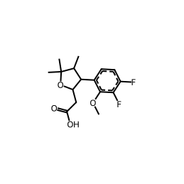 COc1c(C2C(CC(=O)O)OC(C)(C)C2C)ccc(F)c1F